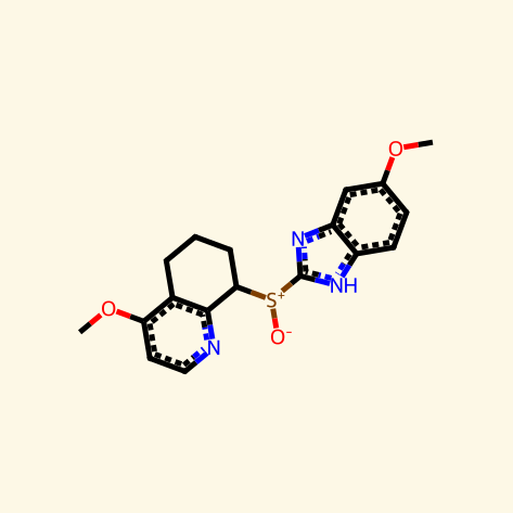 COc1ccc2[nH]c([S+]([O-])C3CCCc4c(OC)ccnc43)nc2c1